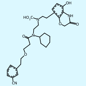 N#Cc1cccc(CCOCCC(=O)N(CCN(CCc2ccc(O)c3c2OCC(=O)N3)C(=O)O)C2CCCCC2)c1